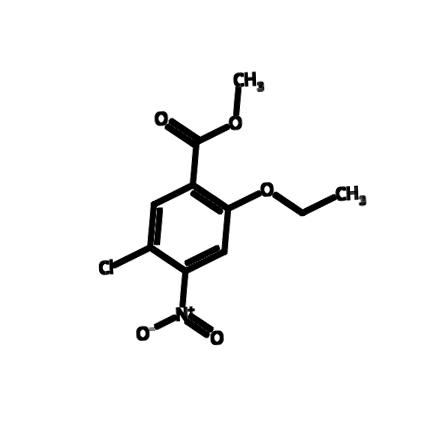 CCOc1cc([N+](=O)[O-])c(Cl)cc1C(=O)OC